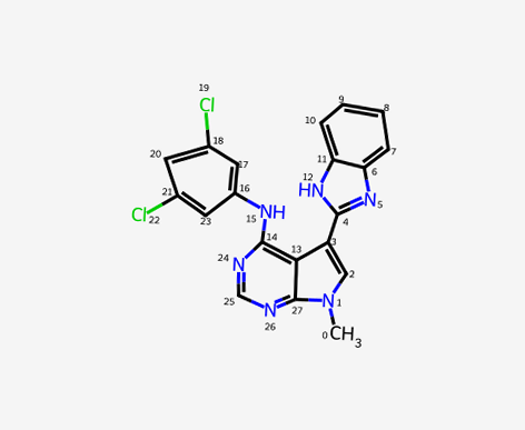 Cn1cc(-c2nc3ccccc3[nH]2)c2c(Nc3cc(Cl)cc(Cl)c3)ncnc21